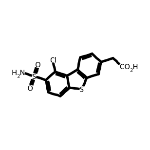 NS(=O)(=O)c1ccc2sc3cc(CC(=O)O)ccc3c2c1Cl